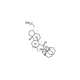 CCOC(=O)C[C@H]1CC[C@H]2[C@@H]3CC=C4C[C@]56OC7(CCCCO7)[C@H]5[C@@H](OC65CCCCO5)[C@]4(C)[C@H]3CC[C@]12C